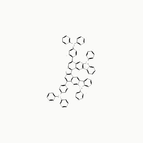 c1ccc(N(c2ccccc2)c2ccc(-c3cc4oc5cc(-c6ccc(N(c7ccccc7)c7ccccc7)cc6)c6cc7c(cc6c5c4c4cc5c6ccccc6n(-c6ccccc6)c5cc34)c3ccccc3n7-c3ccccc3)cc2)cc1